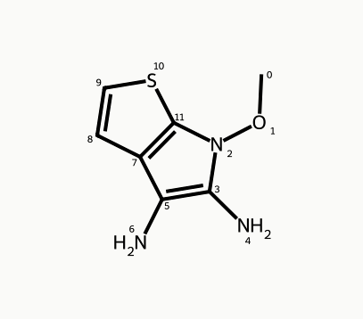 COn1c(N)c(N)c2ccsc21